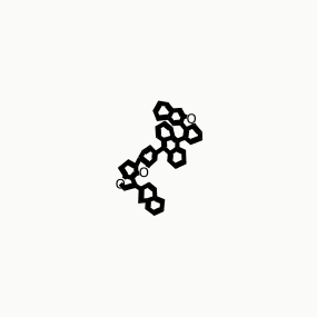 c1ccc2cc(-c3coc4ccc5c6ccc(-c7c8ccccc8c(-c8cccc9oc%10cc%11ccccc%11cc%10c89)c8ccccc78)cc6oc5c34)ccc2c1